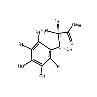 [2H]c1c([2H])c([C@@H](O)[C@]([2H])(N)C(=O)OC)c([2H])c(O)c1O